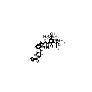 COc1c(NC(=O)c2cc3cccc(CN4CCN(C(=O)C5CNC5)CC4)c3n2C)cc(C(C)(C)C)cc1NS(C)(=O)=O